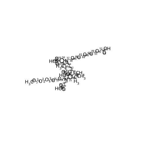 COCCOCCOCCOCCOCCN(CCCS(=O)(=O)O)c1ccc2c(c1)OC(/C=C/C=C1/N(CCOCCOCCOCCOCCOCCC(=O)O)c3ccc(S(=O)(=O)O)cc3C1(C)CCCS(=O)(=O)O)C=C2C(C)(C)C